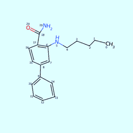 CCCCCNc1cc(-c2ccccc2)ccc1C(N)=O